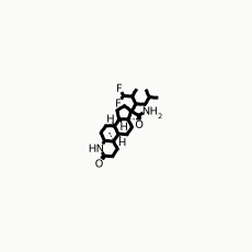 CC(C)CC(C(C)C(F)F)C1(C(N)=O)CC[C@H]2[C@@H]3CCC4NC(=O)CC[C@]4(C)[C@@H]3CC[C@@]21C